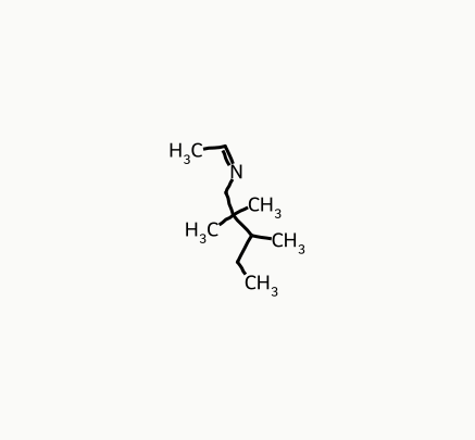 C/C=N\CC(C)(C)C(C)CC